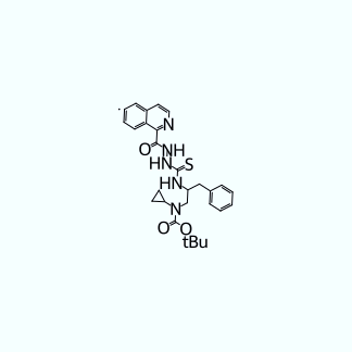 CC(C)(C)OC(=O)N(CC(Cc1ccccc1)NC(=S)NNC(=O)c1nccc2c[c]ccc12)C1CC1